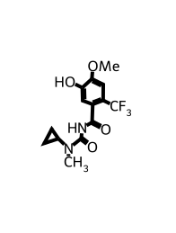 COc1cc(C(F)(F)F)c(C(=O)NC(=O)N(C)C2CC2)cc1O